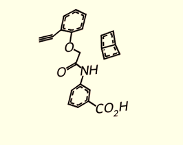 C#Cc1ccccc1OCC(=O)Nc1cccc(C(=O)O)c1.c1cc2ccc1-2